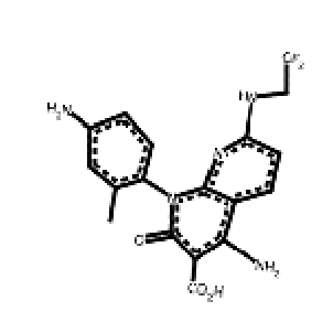 Cc1cc(N)ccc1-n1c(=O)c(C(=O)O)c(N)c2ccc(NCC(F)(F)F)nc21